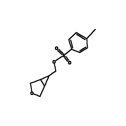 Cc1ccc(S(=O)(=O)OCC2C3COCC32)cc1